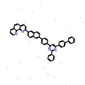 c1ccc(-c2ccc(-c3cc(-c4ccc(-c5ccc6cc(-c7ccc8ccc9cccnc9c8n7)ccc6c5)cc4)nc(-c4ccccc4)n3)cc2)cc1